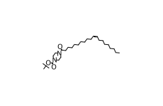 CCCCCCCC/C=C\CCCCCCCCCC(=O)N1CCN(C(=O)OC(C)(C)C)CC1